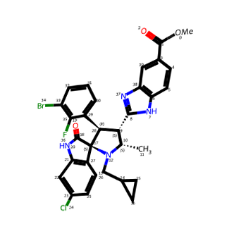 COC(=O)c1ccc2[nH]c([C@@H]3[C@H](C)N(CC4CC4)[C@@]4(C(=O)Nc5cc(Cl)ccc54)[C@H]3c3cccc(Br)c3F)nc2c1